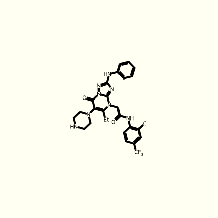 CCc1c(N2CCNCC2)c(=O)n2nc(Nc3ccccc3)nc2n1CC(=O)Nc1ccc(C(F)(F)F)cc1Cl